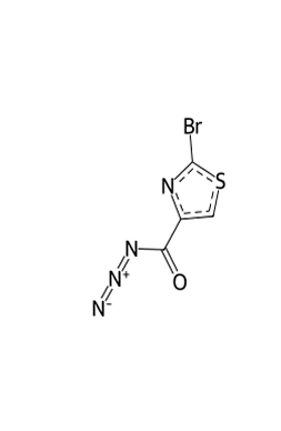 [N-]=[N+]=NC(=O)c1csc(Br)n1